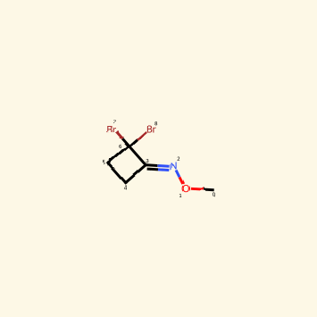 CON=C1C[CH]C1(Br)Br